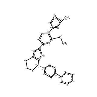 COc1nc(-c2nc3n(n2)CCC[C@H]3c2ccc(-c3ccccc3)cc2)ccc1-n1cnc(C)c1